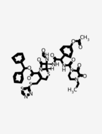 CCN1CCN(C(=O)NC(C(=O)N[C@]2(NC=O)C(=O)N3C(C(=O)OC(c4ccccc4)c4ccccc4)=C(CSc4nncs4)CS[C@H]32)c2ccc(OC(C)=O)cc2)C(=O)C1=O